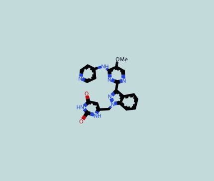 COc1cnc(-c2nn(Cc3cc(=O)[nH]c(=O)[nH]3)c3ccccc23)nc1Nc1ccncc1